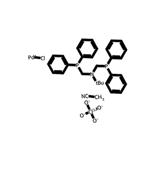 CC#N.CC(C)(C)N(CP(c1ccccc1)c1ccccc1)CP(c1ccccc1)c1ccccc1.[Cl][Pd+].[O-][Cl+3]([O-])([O-])[O-]